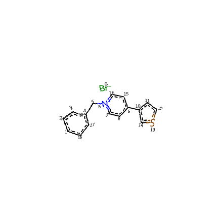 [Br-].c1ccc(C[n+]2ccc(-c3ccsc3)cc2)cc1